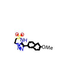 COc1ccc2cc(-c3nnn4c3NS(=O)(=O)CC4)ccc2c1